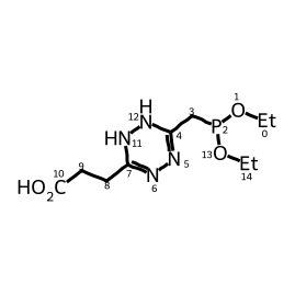 CCOP(CC1=NN=C(CCC(=O)O)NN1)OCC